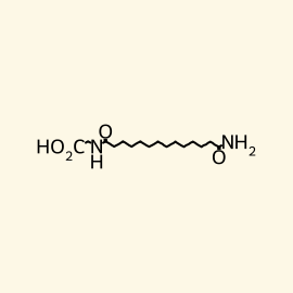 NC(=O)CCCCCCCCCCCCC(=O)NCC(=O)O